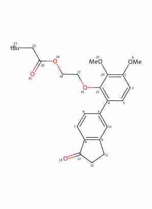 COc1ccc(-c2ccc3c(c2)CCC3=O)c(OCCOC(=O)CC(C)(C)C)c1OC